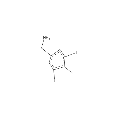 NCc1cc(I)c(I)c(I)c1